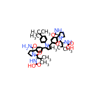 CC(C)[C@H](NC(=O)O)C(=O)N1CCC[C@@]1(C(N)=O)c1ccc(-c2ccc(-c3ccc([C@]4(C(N)=O)CCCN4C(=O)[C@@H](NC(=O)O)C(C)C)cc3)n2-c2ccc(C(C)(C)C)cc2)cc1